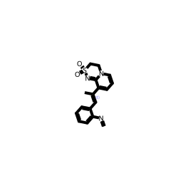 C=Nc1ccccc1/C=C(\C)C1=CC=CN2CCS(=O)(=O)N=C12